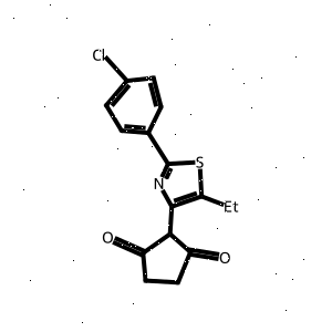 CCc1sc(-c2ccc(Cl)cc2)nc1C1C(=O)CCC1=O